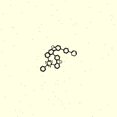 C1=CCCC(c2ccc(-c3ccc4oc5cccc(-c6ccc7oc8cccc(-c9nc(-c%10ccccc%10)nc(-c%10ccccc%10)n9)c8c7c6)c5c4c3)cc2)=C1